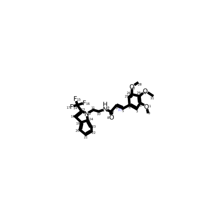 COc1cc(/C=C/C(=O)NCCn2c(C(F)(F)F)cc3ccccc32)cc(OC)c1OC